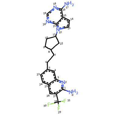 Nc1nc2cc(CCC3CCC(n4ccc5c(N)ncnc54)C3)ccc2cc1C(F)(F)F